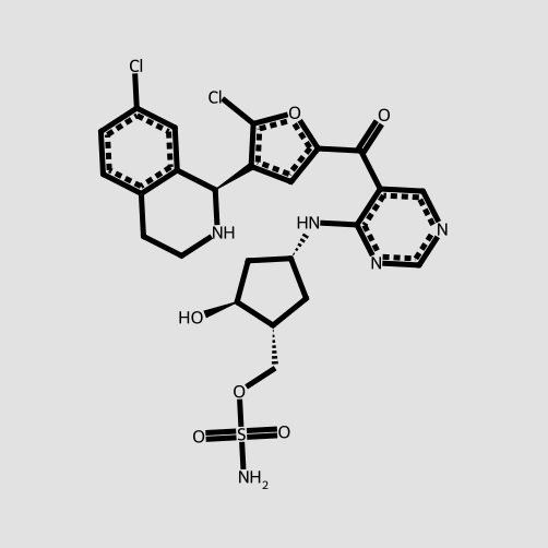 NS(=O)(=O)OC[C@H]1C[C@@H](Nc2ncncc2C(=O)c2cc([C@H]3NCCc4ccc(Cl)cc43)c(Cl)o2)C[C@@H]1O